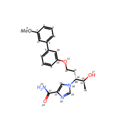 COc1cccc(-c2cccc(OCC[C@H]([C@H](C)O)n3cnc(C(N)=O)c3)c2)c1